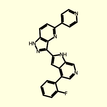 Fc1ccccc1-c1cncc2[nH]c(-c3n[nH]c4ccc(-c5ccncc5)nc34)cc12